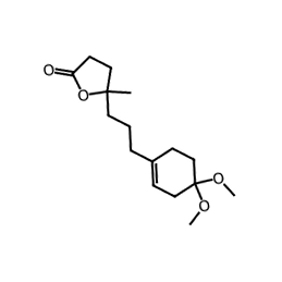 COC1(OC)CC=C(CCCC2(C)CCC(=O)O2)CC1